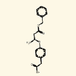 NC(CC(=O)OCc1ccccc1)Oc1ccc(CC(=O)O)cc1